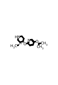 CC[C@@H]1CNCC[C@H]1Oc1ccc(OC(C)C)cn1